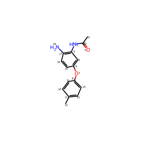 CC(=O)Nc1cc(Oc2ccc(C)cc2)ccc1N